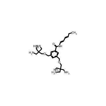 CC/C=C/C=CNC(=O)c1cc(COCC(CN)(CN)CN)cc(COCC(CN)(CN)CN)c1